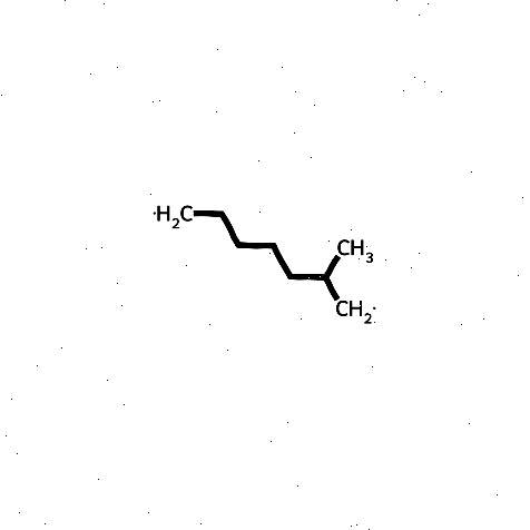 [CH2]CCCCC([CH2])C